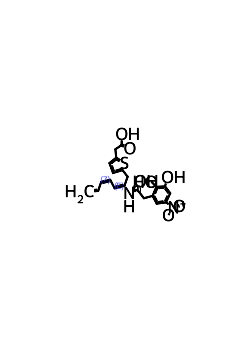 C=C/C=C\C=C(/Cc1ccc(CC(=O)O)s1)N[C@H](O)Cc1cc([N+](=O)[O-])cc(O)c1O